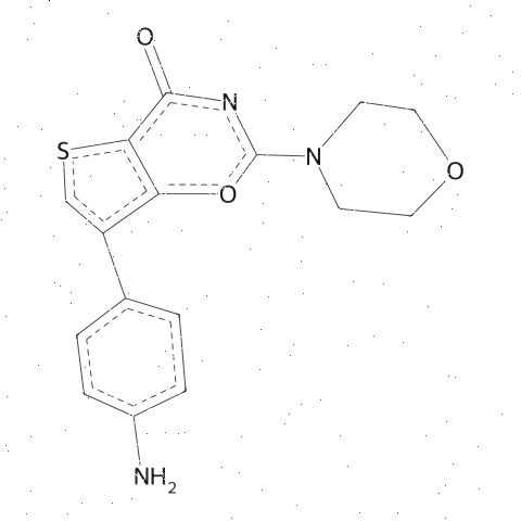 Nc1ccc(-c2csc3c(=O)nc(N4CCOCC4)oc23)cc1